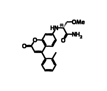 COC[C@@H](Nc1ccc2c(-c3ccccc3C)cc(=O)oc2c1)C(N)=O